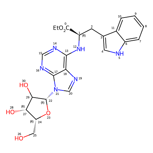 CCOC(=O)[C@@H](Cc1c[nH]c2ccccc12)Nc1ncnc2c1ncn2[C@@H]1O[C@H](CO)[C@H](O)C1O